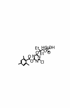 CCC(CC)(COP(=O)(O)O)Oc1nc(Cl)nc(OC(=O)c2c(C)cc(C)cc2C)n1